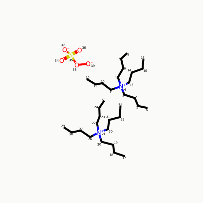 CCCC[N+](CCCC)(CCCC)CCCC.CCCC[N+](CCCC)(CCCC)CCCC.O=S(=O)([O-])O[O-]